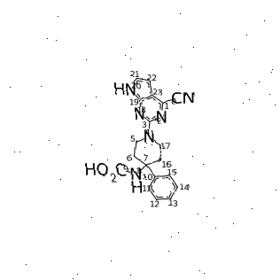 N#Cc1nc(N2CCC(NC(=O)O)(c3ccccc3)CC2)nc2[nH]ccc12